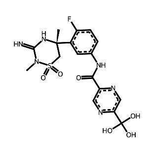 CN1C(=N)N[C@](C)(c2cc(NC(=O)c3cnc(C(O)(O)O)cn3)ccc2F)CS1(=O)=O